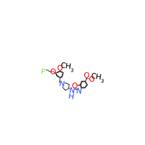 COC(=O)c1ccc2nc(NC3CCN(Cc4ccc(OC)c(OCCF)c4)CC3)oc2c1